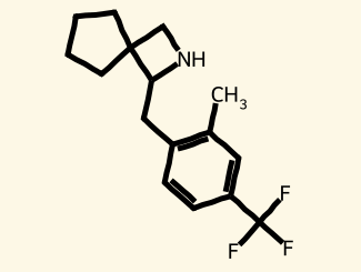 Cc1cc(C(F)(F)F)ccc1CC1NCC12CCCC2